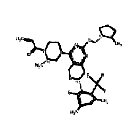 C=CC(=O)N1CCN(c2nc(OC[C@@H]3CCCN3C)nc3c2CO[C@@H](c2c(F)c(N)cc(C)c2C(F)(F)F)C3)C[C@@H]1C